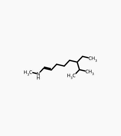 CCC(CCC/C=C/NC)C(C)C